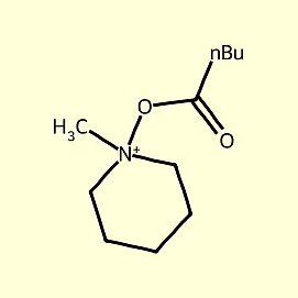 CCCCC(=O)O[N+]1(C)CCCCC1